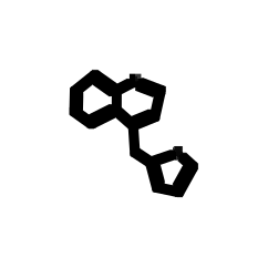 c1csc(Cc2ccnc3ccccc23)c1